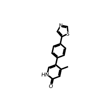 Cc1cc(=O)[nH]cc1-c1ccc(-c2cncs2)cc1